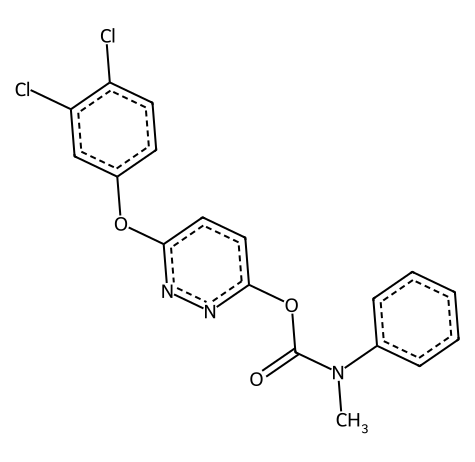 CN(C(=O)Oc1ccc(Oc2ccc(Cl)c(Cl)c2)nn1)c1ccccc1